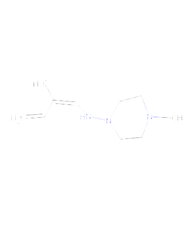 C=C/C(C)=C\NN1CCN(C)CC1